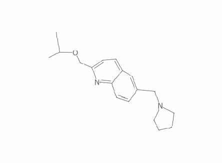 CC(C)OCc1ccc2cc(CN3CCCC3)ccc2n1